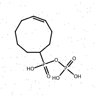 O=P(O)(O)OP(=O)(O)C1CCC=CCCCC1